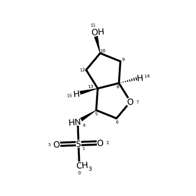 CS(=O)(=O)N[C@@H]1CO[C@@H]2C[C@H](O)C[C@@H]12